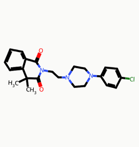 CC1(C)C(=O)N(CCN2CCN(c3ccc(Cl)cc3)CC2)C(=O)c2ccccc21